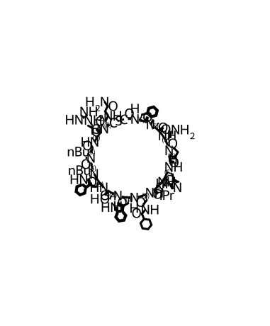 CCCC[C@H]1C(=O)N(C)[C@@H](CCCC)C(=O)N[C@@H](CCCNC(=N)N)C(=O)N[C@H](C(=O)NCC(N)=O)CSCC(=O)N[C@@H](Cc2ccccc2)C(=O)N(C)[C@@H](C)C(=O)N[C@@H](CC(N)=O)C(=O)N2CCC[C@H]2C(=O)N[C@@H](Cc2cnc[nH]2)C(=O)N[C@@H](CC(C)C)C(=O)N[C@@H](CCNC(=O)C2CCCCC2)C(=O)N[C@@H](Cc2c[nH]c3ccccc23)C(=O)N[C@@H](CO)C(=O)N[C@@H](Cc2c[nH]c3ccccc23)C(=O)N1C